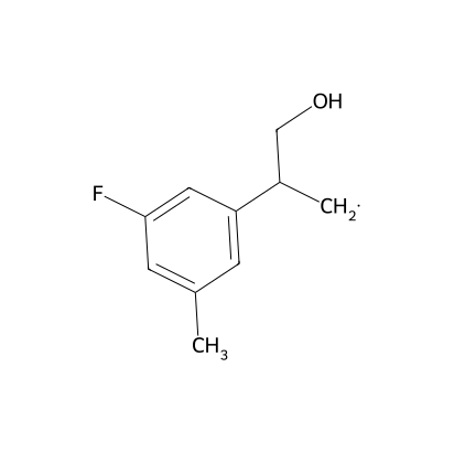 [CH2]C(CO)c1cc(C)cc(F)c1